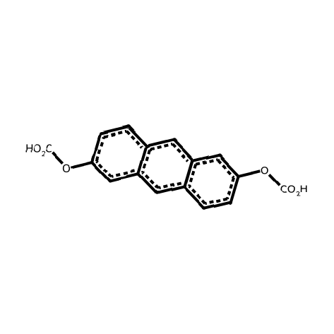 O=C(O)Oc1ccc2cc3cc(OC(=O)O)ccc3cc2c1